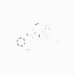 COc1cccc(C(=O)N[C@H]2C/C=C\C[C@@H]3CC[C@@H](C(=O)O)N3C2=O)c1